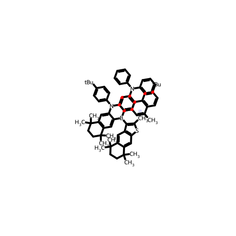 C/C(=C/c1cc(N(c2ccccc2)c2ccccc2)cc2c1B(c1c(C)sc3cc4c(cc13)C(C)(C)CCC4(C)C)c1cc3c(cc1N2c1ccc(C(C)(C)C)cc1)C(C)(C)CCC3(C)C)c1ccc(C(C)(C)C)cc1-c1ccccc1